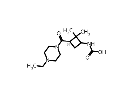 CCN1CCN(C(=O)[C@@H]2CC(NC(=O)O)C2(C)C)CC1